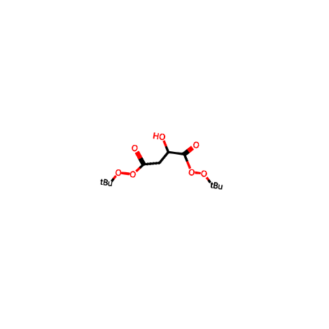 CC(C)(C)OOC(=O)CC(O)C(=O)OOC(C)(C)C